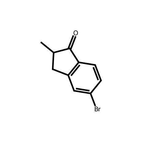 CC1Cc2cc(Br)ccc2C1=O